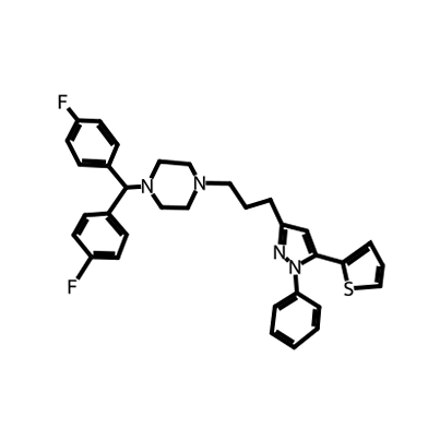 Fc1ccc(C(c2ccc(F)cc2)N2CCN(CCCc3cc(-c4cccs4)n(-c4ccccc4)n3)CC2)cc1